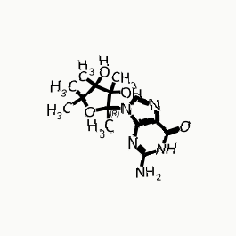 CC1(C)O[C@@](C)(n2cnc3c(=O)[nH]c(N)nc32)C(C)(O)C1(C)O